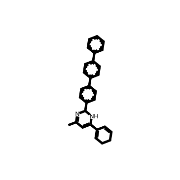 CC1=NC(c2ccc(-c3ccc(-c4ccccc4)cc3)cc2)NC(C2=CCCC=C2)=C1